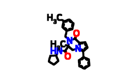 Cc1cccc(CN2C(=O)c3ccc(-c4ccccc4)n3CC2(C)C(=O)NC2CCCC2)c1